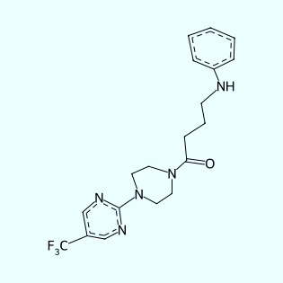 O=C(CCCNc1ccccc1)N1CCN(c2ncc(C(F)(F)F)cn2)CC1